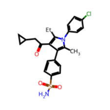 CCc1c(C(=O)CC2CC2)c(-c2ccc(S(N)(=O)=O)cc2)c(C)n1-c1ccc(Cl)cc1